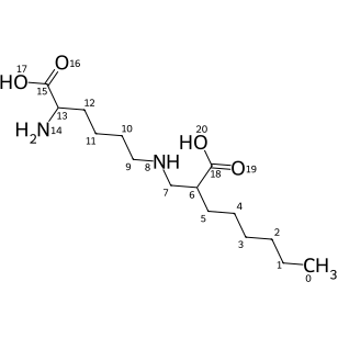 CCCCCCC(CNCCCCC(N)C(=O)O)C(=O)O